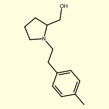 Cc1ccc(CCN2CCCC2CO)cc1